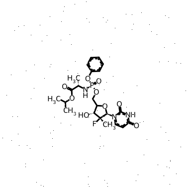 CC(C)OC(=O)[C@H](C)N[P@@](=O)(OCC1O[C@@H](n2ccc(=O)[nH]c2=O)[C@](C)(F)[C@@H]1O)Oc1ccccc1